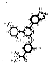 CC1CO[C@H](C)CN1c1nc(Oc2ccc(C(=O)N(C)C)cc2F)nc(-c2ccc3[nH]ncc3c2)n1